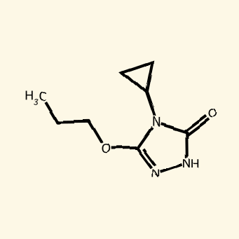 CCCOc1n[nH]c(=O)n1C1CC1